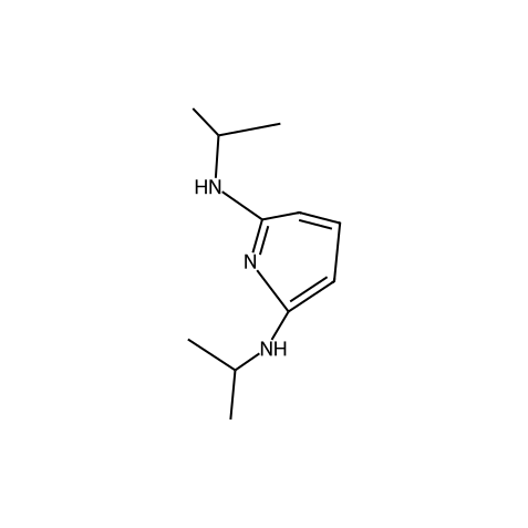 CC(C)Nc1cccc(NC(C)C)n1